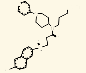 CCOC(=O)CCCN(C(=O)CCS(=O)(=O)c1ccc2cc(Cl)ccc2c1)C1CCN(c2ccncc2)CC1